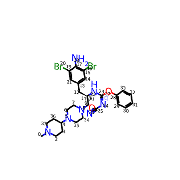 CN1CCC(N2CCN(C(=O)[C@@H](Cc3cc(Br)c(N)c(Br)c3)N/C(=N\C#N)Oc3ccccc3)CC2)CC1